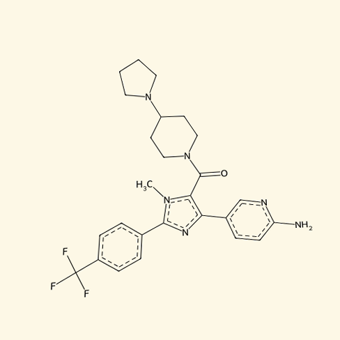 Cn1c(-c2ccc(C(F)(F)F)cc2)nc(-c2ccc(N)nc2)c1C(=O)N1CCC(N2CCCC2)CC1